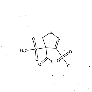 CS(=O)(=O)C1=NSCC1(C(=O)Cl)S(C)(=O)=O